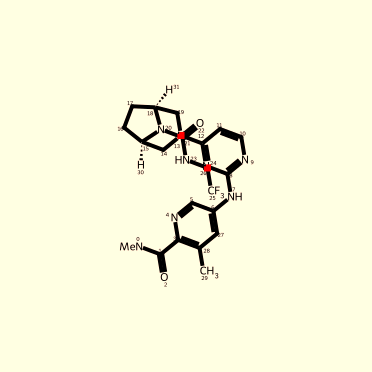 CNC(=O)c1ncc(Nc2nccc(N3C[C@H]4CC[C@@H](C3)N4C(=O)NCC(F)(F)F)n2)cc1C